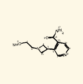 COCCN1CC(c2cnccc2C(N)=O)C1